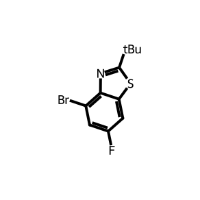 CC(C)(C)c1nc2c(Br)cc(F)cc2s1